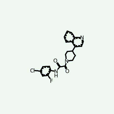 O=C(Nc1ccc(Cl)cc1F)C(=O)N1CCC(c2ccnc3ccccc23)CC1